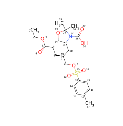 CCOC(=O)CC[C@H](COS(=O)(=O)c1ccc(C)cc1)CC1COC(C)(C)N1C(=O)O